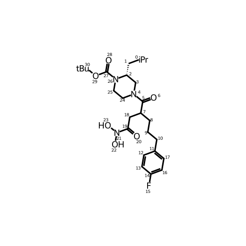 CC(C)C[C@@H]1CN(C(=O)C(CCCc2ccc(F)cc2)CC(=O)N(O)O)CCN1C(=O)OC(C)(C)C